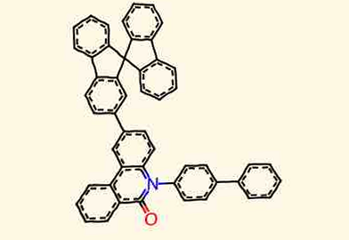 O=c1c2ccccc2c2cc(-c3ccc4c(c3)C3(c5ccccc5-c5ccccc53)c3ccccc3-4)ccc2n1-c1ccc(-c2ccccc2)cc1